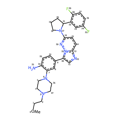 COCCN1CCN(c2cc(-c3cnc4ccc(N5CCCC5c5cc(F)ccc5F)nn34)ccc2N)CC1